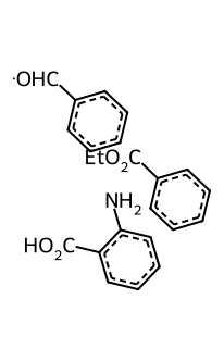 CCOC(=O)c1ccccc1.Nc1ccccc1C(=O)O.O=[C]c1ccccc1